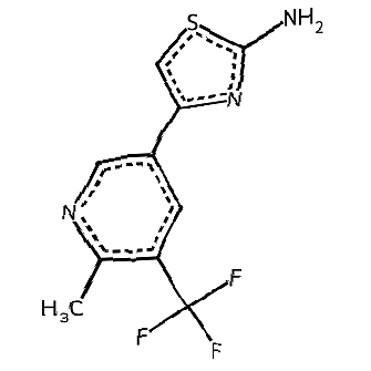 Cc1ncc(-c2csc(N)n2)cc1C(F)(F)F